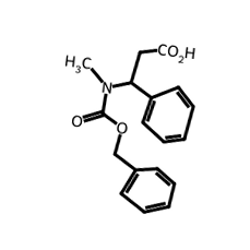 CN(C(=O)OCc1ccccc1)C(CC(=O)O)c1ccccc1